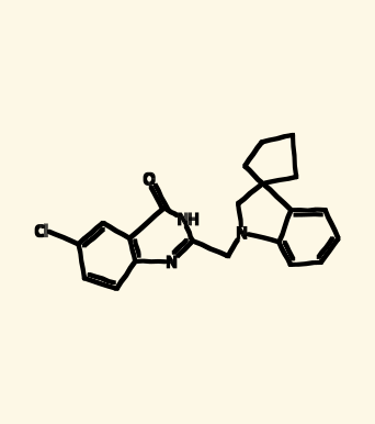 O=c1[nH]c(CN2CC3(CCCC3)c3ccccc32)nc2ccc(Cl)cc12